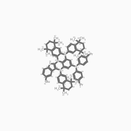 CC(C)c1ccc(N(c2ccc(C(C)C)cc2)c2cc3c4c(c2)N(c2ccc5c(c2)C(C)(C)CCC5(C)C)c2c(sc5ccc(C(C)(C)C)cc25)B4c2cc4c(cc2N3c2ccc3c(c2)C(C)(C)CCC3(C)C)C(C)(C)CCC4(C)C)cc1